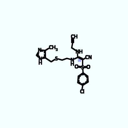 C#CCN/C(NCCSCc1[nH]cnc1C)=C(\C#N)S(=O)(=O)c1ccc(Cl)cc1